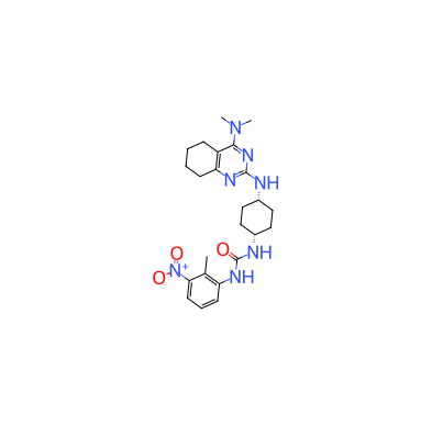 Cc1c(NC(=O)N[C@H]2CC[C@@H](Nc3nc4c(c(N(C)C)n3)CCCC4)CC2)cccc1[N+](=O)[O-]